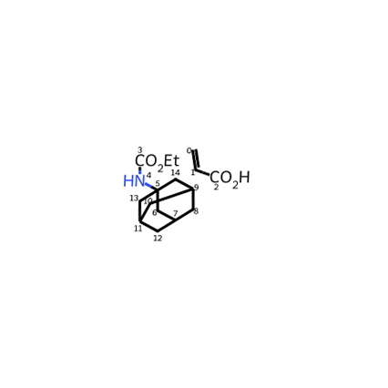 C=CC(=O)O.CCOC(=O)NC12CC3CC(CC(C3)C1)C2